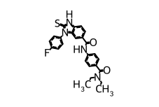 CCN(CC)C(=O)c1ccc(NC(=O)c2ccc3[nH]c(=S)n(-c4ccc(F)cc4)c3c2)cc1